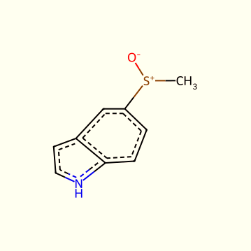 C[S+]([O-])c1ccc2[nH]ccc2c1